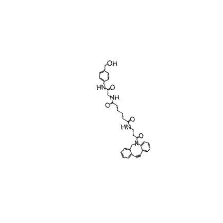 O=C(CCCCC(=O)NCC(=O)Nc1ccc(CO)cc1)NCCC(=O)N1Cc2ccccc2C#Cc2ccccc21